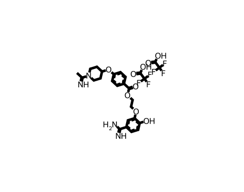 CC(=N)N1CCC(Oc2ccc(C(=O)OCCOc3cc(C(=N)N)ccc3O)cc2)CC1.O=C(O)C(F)(F)F.O=C(O)C(F)(F)F